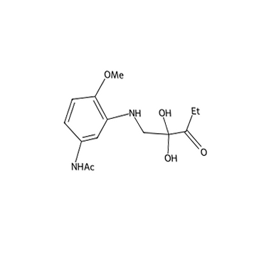 CCC(=O)C(O)(O)CNc1cc(NC(C)=O)ccc1OC